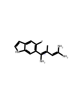 C/C(C=C(N)N)=C(/N)c1cc2[nH]ccc2cc1F